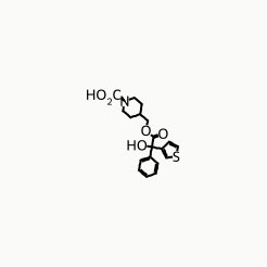 O=C(O)N1CCC(COC(=O)C(O)(c2ccccc2)c2ccsc2)CC1